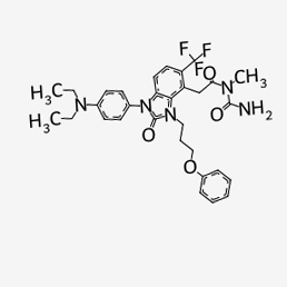 CCN(CC)c1ccc(-n2c(=O)n(CCCOc3ccccc3)c3c(CC(=O)N(C)C(N)=O)c(C(F)(F)F)ccc32)cc1